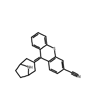 N#Cc1ccc2c(c1)Sc1ccccc1C2=C1CC2CCC(C1)N2